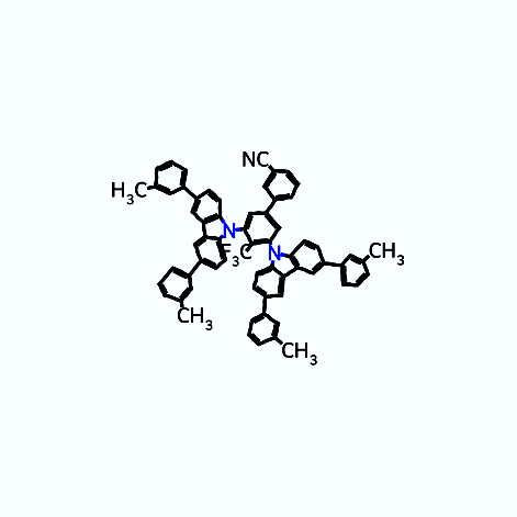 Cc1cccc(-c2ccc3c(c2)c2cc(-c4cccc(C)c4)ccc2n3-c2cc(-c3cccc(C#N)c3)cc(-n3c4ccc(-c5cccc(C)c5)cc4c4cc(-c5cccc(C)c5)ccc43)c2C(F)(F)F)c1